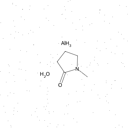 CN1CCCC1=O.O.[AlH3]